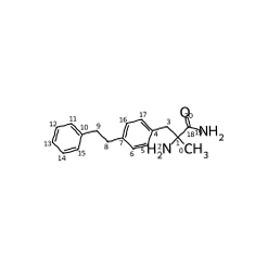 CC(N)(Cc1ccc(CCc2ccccc2)cc1)C(N)=O